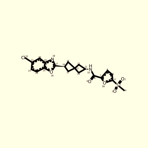 CS(=O)(=O)c1ccc(C(=O)N[C@H]2CC3(C2)C[C@H](c2nc4cc(Cl)ccc4o2)C3)o1